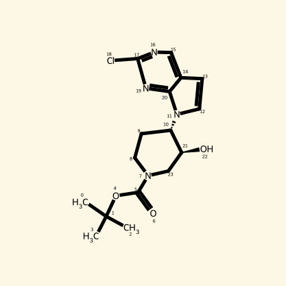 CC(C)(C)OC(=O)N1CC[C@H](n2ccc3cnc(Cl)nc32)[C@@H](O)C1